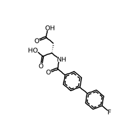 O=C(O)C[C@H](NC(=O)c1ccc(-c2ccc(F)cc2)cc1)C(=O)O